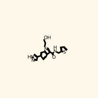 O=C(NCc1cccs1)c1cn(CCCO)c2cc(-c3cn[nH]c3)ccc12